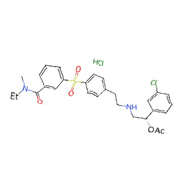 CCN(C)C(=O)c1cccc(S(=O)(=O)c2ccc(CCNC[C@@H](OC(C)=O)c3cccc(Cl)c3)cc2)c1.Cl